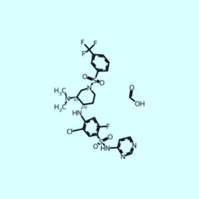 CN(C)[C@H]1CN(S(=O)(=O)c2cccc(C(F)(F)F)c2)CC[C@@H]1Nc1cc(F)c(S(=O)(=O)Nc2ccncn2)cc1Cl.O=CO